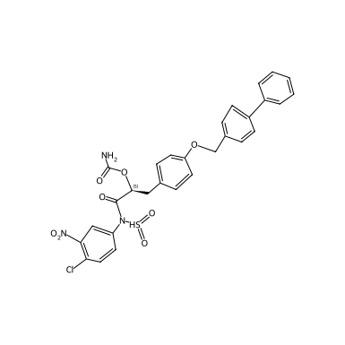 NC(=O)O[C@@H](Cc1ccc(OCc2ccc(-c3ccccc3)cc2)cc1)C(=O)N(c1ccc(Cl)c([N+](=O)[O-])c1)[SH](=O)=O